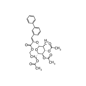 CCOC(=O)/C(=C/c1cccc(-c2ccccc2)c1)O[C@H]1O[C@@H](COC(C)=O)[C@H](OC(C)=O)[C@@H](OC(C)=O)[C@@H]1C